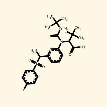 CC(C)(C)OC(=O)N(c1cccc(C(N)S(=O)(=O)c2ccc(F)cc2)n1)C(C(=O)O)C(C)(C)C